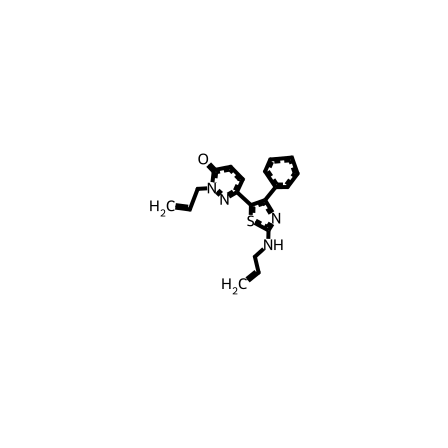 C=CCNc1nc(-c2ccccc2)c(-c2ccc(=O)n(CC=C)n2)s1